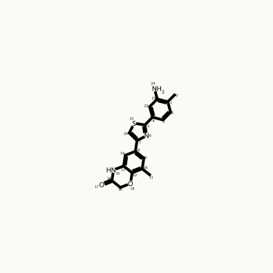 Cc1ccc(-c2nc(-c3cc(C)c4c(c3)NC(=O)CO4)cs2)cc1N